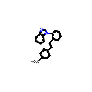 O=C(O)c1ccc(/C=C/c2ccccc2-n2cnc3ccccc32)cc1